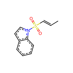 CC=CS(=O)(=O)n1ccc2ccccc21